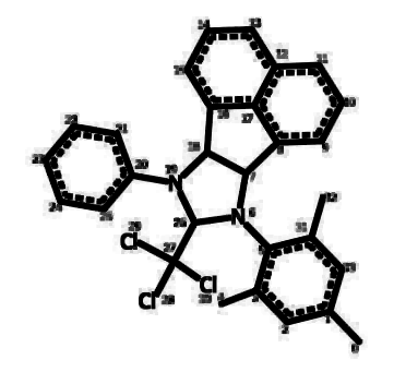 Cc1cc(C)c(N2C3c4cccc5cccc(c45)C3N(c3ccccc3)C2C(Cl)(Cl)Cl)c(C)c1